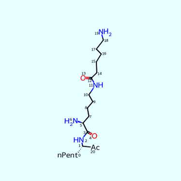 CCCCC[C@H](NC(=O)[C@@H](N)CCCCNC(=O)CCCCCN)C(C)=O